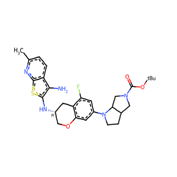 Cc1ccc2c(N)c(N[C@H]3COc4cc(N5CCC6CN(C(=O)OC(C)(C)C)CC65)cc(F)c4C3)sc2n1